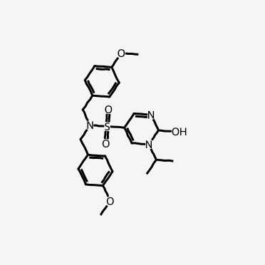 COc1ccc(CN(Cc2ccc(OC)cc2)S(=O)(=O)C2=CN(C(C)C)C(O)N=C2)cc1